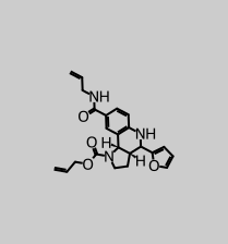 C=CCNC(=O)c1ccc2c(c1)[C@@H]1[C@@H](CCN1C(=O)OCC=C)C(c1ccco1)N2